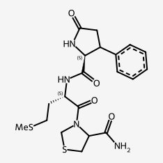 CSCC[C@H](NC(=O)[C@H]1NC(=O)CC1c1ccccc1)C(=O)N1CSCC1C(N)=O